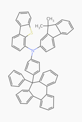 CC1(C)c2ccccc2-c2ccc(N(c3ccc(C4(c5ccccc5)c5ccccc5-c5ccccc5-c5ccccc54)cc3)c3cccc4c3sc3ccccc34)cc21